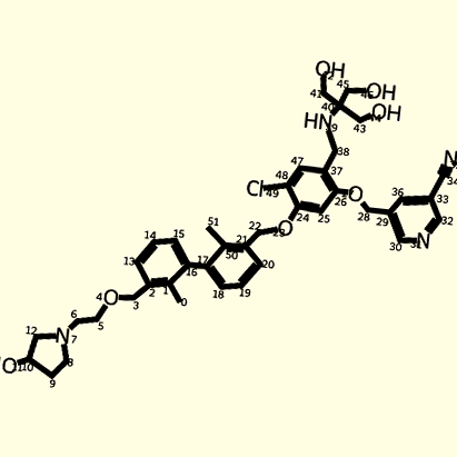 Cc1c(COCCN2CCC(O)C2)cccc1-c1cccc(COc2cc(OCc3cncc(C#N)c3)c(CNC(CO)(CO)CO)cc2Cl)c1C